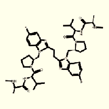 CN[C@H](C)C(=O)N[C@@H](C(=O)N1CCC[C@H]1Cn1c(CCc2nc3cc(F)ccc3n2C[C@@H]2CCCN2C(=O)[C@H](NC(=O)[C@@H](C)NC)C(C)C)nc2cc(F)ccc21)C(C)C